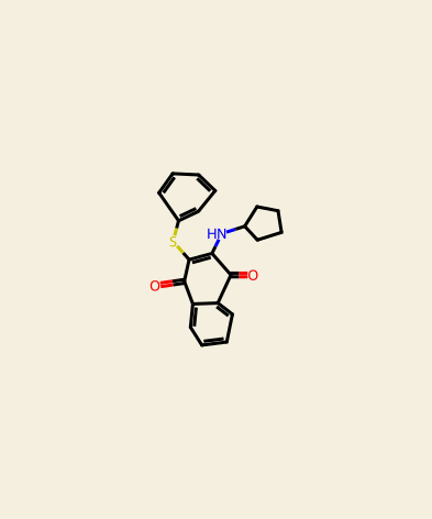 O=C1C(NC2CCCC2)=C(Sc2ccccc2)C(=O)c2ccccc21